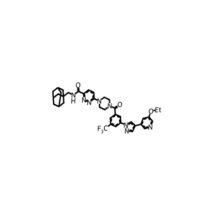 CCOc1cncc(-c2cnn(-c3cc(C(=O)N4CCN(c5ccc(C(=O)NCC67CC8CC(CC(C8)C6)C7)nn5)CC4)cc(C(F)(F)F)c3)c2)c1